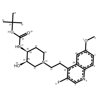 COc1ccc2ncc(F)c(CCN3CC[C@H](NC(=O)OC(C)(C)C)[C@H](O)C3)c2c1